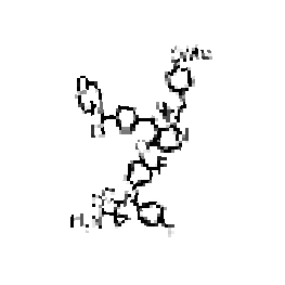 COc1ccc(Cn2nc(-c3ccc(C(=O)N4CCOCC4)cc3)c3c(Oc4ccc(N(C(=O)C5(C(N)=O)CC5)c5ccc(F)cc5)cc4F)ccnc32)cc1